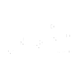 CCCCC[N+](CC)(CC)CC.N#CNC#N